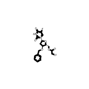 O=C(CCl)OC[C@H]1O[C@@H](n2cc(F)c(=O)[nH]c2=O)C[C@@H]1OCc1ccccc1